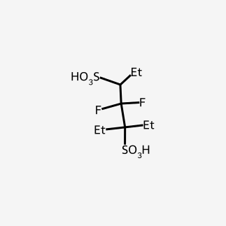 CCC(C(F)(F)C(CC)(CC)S(=O)(=O)O)S(=O)(=O)O